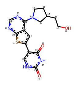 O=c1[nH]cc(-c2cc3c(N4CCC(CCO)C4)ncnc3s2)c(=O)[nH]1